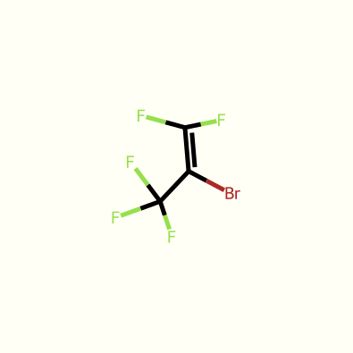 FC(F)=C(Br)C(F)(F)F